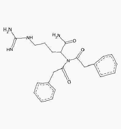 N=C(N)NCCCC(C(N)=O)N(C(=O)Cc1ccccc1)C(=O)Cc1ccccc1